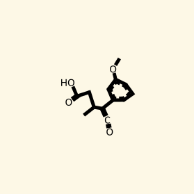 COc1cccc(C(=C=O)C(C)CC(=O)O)c1